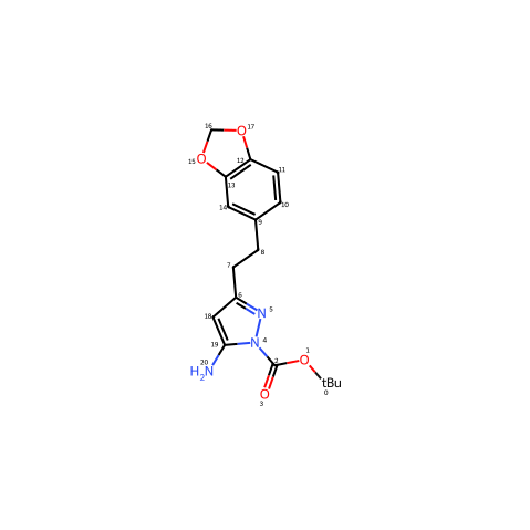 CC(C)(C)OC(=O)n1nc(CCc2ccc3c(c2)OCO3)cc1N